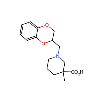 CC1(C(=O)O)CCCN(CC2COc3ccccc3O2)C1